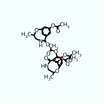 CC(=O)Oc1[c]c2[c]c(c1)OC(C)CNC2=O.CC(=O)Oc1cc2c(OC(C)=O)c(c1OC(C)=O)C(=O)NCC(C)O2